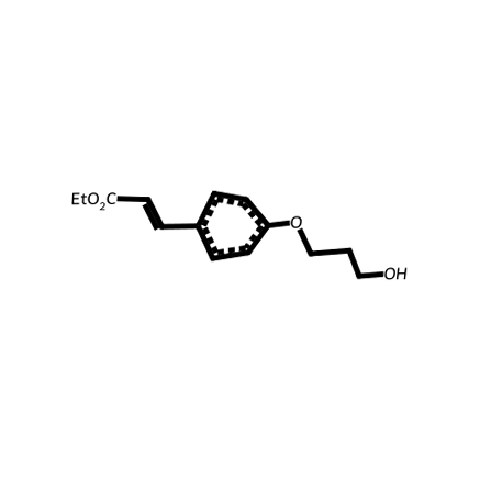 CCOC(=O)C=Cc1ccc(OCCCO)cc1